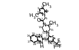 Cc1cc(C)n(CC(=O)N2CCN(c3sc(C(F)(F)F)nc3-c3nc4ccccc4[nH]3)CC2C)n1